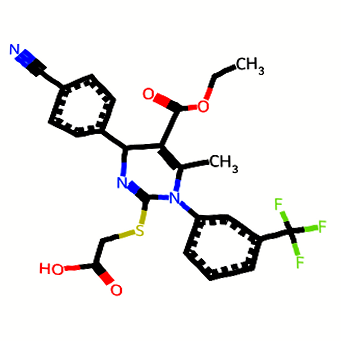 CCOC(=O)C1=C(C)N(c2cccc(C(F)(F)F)c2)C(SCC(=O)O)=NC1c1ccc(C#N)cc1